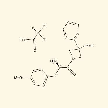 CCCCCC1(c2ccccc2)CN(C(=O)[C@H](N)Cc2ccc(OC)cc2)C1.O=C(O)C(F)(F)F